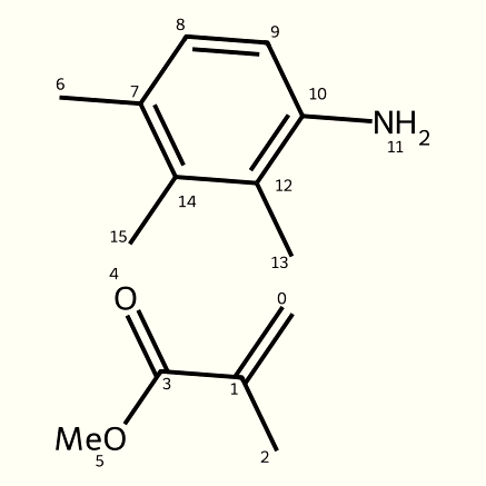 C=C(C)C(=O)OC.Cc1ccc(N)c(C)c1C